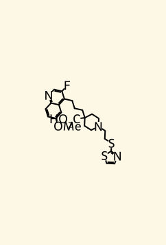 COc1ccc2ncc(F)c(CCCC3(C(=O)O)CCN(CCSc4nccs4)CC3)c2c1